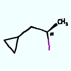 C[C@@H](I)CC1CC1